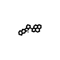 c1ccc2cc3c(cc2c1)sc1c(-c2ccc4ccc5cccc6ccc2c4c56)cccc13